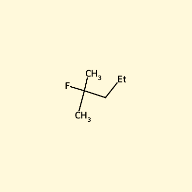 CCCC(C)(C)F